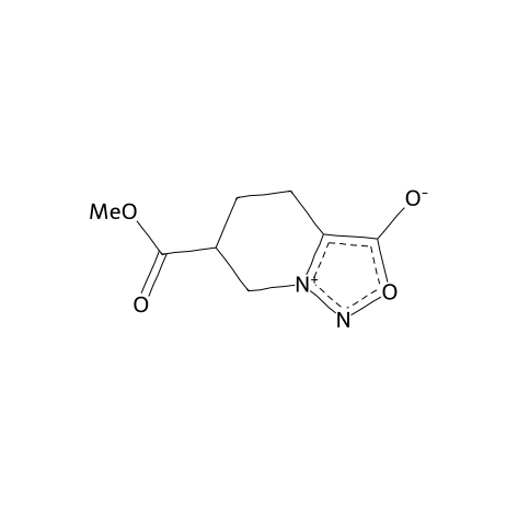 COC(=O)C1CCc2c([O-])on[n+]2C1